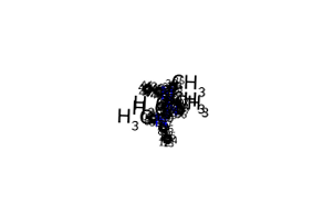 Cc1ccc(N(c2ccc(-c3ccccc3)cc2)c2ccc3c(c2)C(C)(C)c2cc(N(c4ccc(C)cc4)c4ccc(-c5ccccc5)cc4)cc4c2N3c2ccccc2C4(C)C)cc1